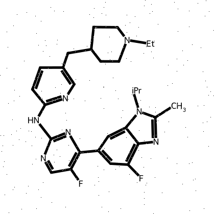 CCN1CCC(Cc2ccc(Nc3ncc(F)c(-c4cc(F)c5nc(C)n(C(C)C)c5c4)n3)nc2)CC1